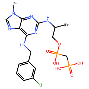 CC(C)C(COP(=O)(O)CP(=O)(O)O)Nc1nc(NCc2cccc(Cl)c2)c2ncn(C(C)C)c2n1